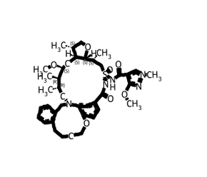 COc1nn(C)cc1C(=O)NS1(=O)=NC(=O)c2ccc3c(c2)N(Cc2ccccc2CCCCO3)C[C@H](C)[C@@H](C)[C@@H](OC)C[C@@H]2[C@H](OC[C@H]2C)[C@H](C)C1